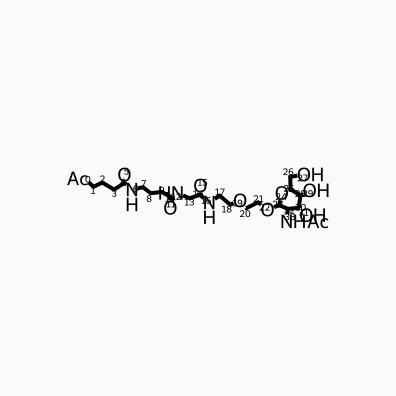 CC(=O)CCCC(=O)NCCCC(=O)NCC(=O)NCCOCCOC1OC(CO)C(O)C(O)C1NC(C)=O